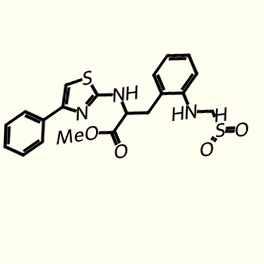 COC(=O)C(Cc1ccccc1NC[SH](=O)=O)Nc1nc(-c2ccccc2)cs1